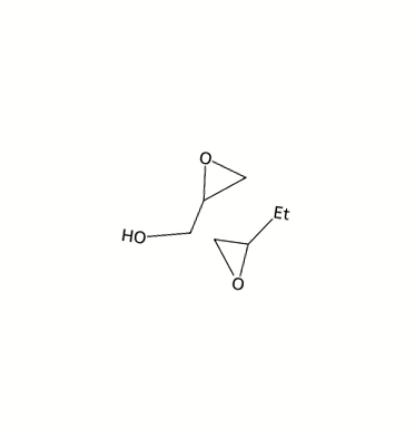 CCC1CO1.OCC1CO1